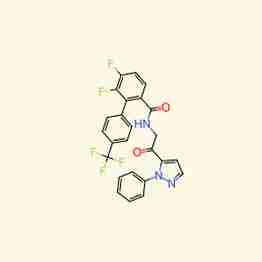 O=C(NCC(=O)c1ccnn1-c1ccccc1)c1ccc(F)c(F)c1-c1ccc(C(F)(F)F)cc1